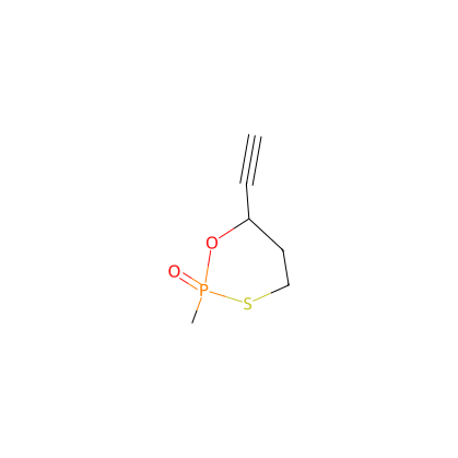 C#CC1CCSP(C)(=O)O1